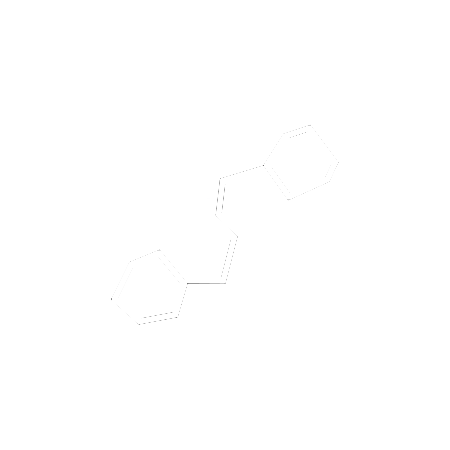 C(/C=C\c1ccccc1)=C/c1ccccc1